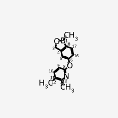 CB1OCc2cc(Oc3ccc(C)c(C)n3)ccc21